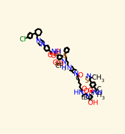 Cc1ncsc1-c1ccc([C@H](C)NC(=O)[C@@H]2C[C@@H](O)CN2C(=O)C(NC(=O)CCCCCC(=O)N2CC3CN(CCC(CSc4ccccc4)Nc4ccc(S(=O)(=O)NC(=O)c5ccc(N6CCN(CC7=C(c8ccc(Cl)cc8)CCCCC7)CC6)cc5)cc4S(=O)(=O)C(F)(F)F)CC3C2)C(C)(C)C)cc1